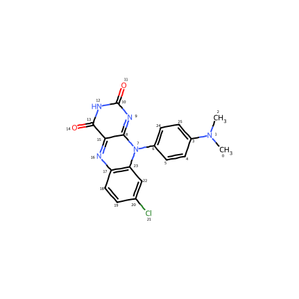 CN(C)c1ccc(-n2c3nc(=O)[nH]c(=O)c-3nc3ccc(Cl)cc32)cc1